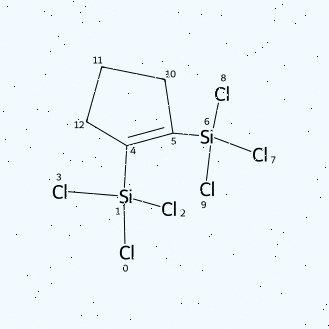 Cl[Si](Cl)(Cl)C1=C([Si](Cl)(Cl)Cl)CCC1